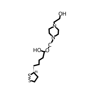 OCCN1CCN(CCOC(O)CCCC[C@@H]2CCSS2)CC1